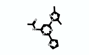 CC(=O)Nc1cc(-n2nc(C)cc2C)nc(-c2ccco2)n1